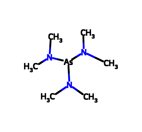 CN(C)[As](N(C)C)N(C)C